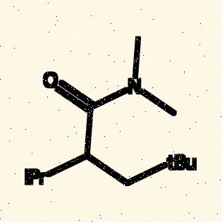 CC(C)C(CC(C)(C)C)C(=O)N(C)C